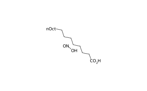 CCCCCCCCCCCCCCCC(=O)O.O=NO